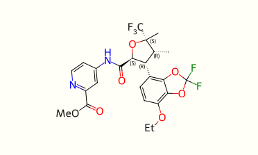 CCOc1ccc([C@@H]2[C@@H](C(=O)Nc3ccnc(C(=O)OC)c3)O[C@](C)(C(F)(F)F)[C@@H]2C)c2c1OC(F)(F)O2